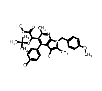 COC(=O)C(OC(C)(C)C)c1c(C)nc2c(c(C)c(C)n2Cc2ccc(OC)cc2)c1-c1ccc(Cl)cc1